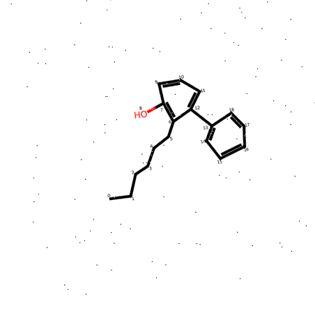 CCCCCCc1c(O)cccc1-c1ccccc1